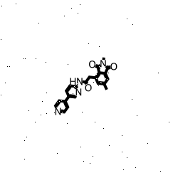 Cc1cc(CC(=O)Nc2ccc(-c3ccncc3)cn2)c2c(c1)C(=O)N(C)C2=O